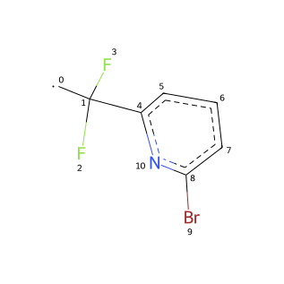 [CH2]C(F)(F)c1cccc(Br)n1